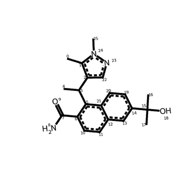 Cc1c(C(C)c2c(C(N)=O)ccc3cc(C(C)(C)O)ccc23)cnn1C